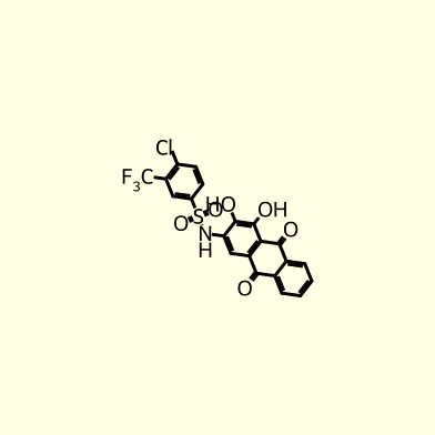 O=C1c2ccccc2C(=O)c2c1cc(NS(=O)(=O)c1ccc(Cl)c(C(F)(F)F)c1)c(O)c2O